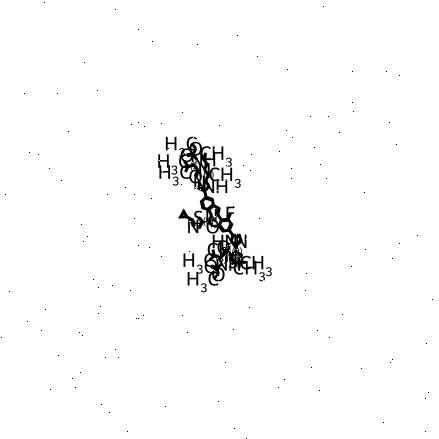 CCCN(C(=O)[C@@H](NC(=O)OC)C(C)C)[C@@H](C)c1ncc(-c2ccc3c(c2)cc2n3[C@H](c3cnc(C4CC4)s3)Oc3cc(-c4cnc([C@@H]5C[Si](C)(C)CN5C(=O)[C@@H](NC(=O)OC)C(C)C)[nH]4)cc(F)c3-2)[nH]1